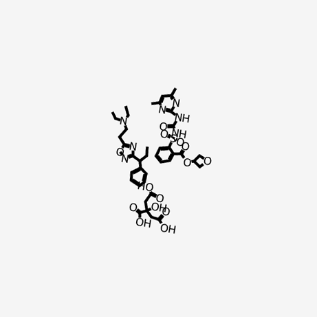 CCC(c1ccccc1)c1noc(CCN(CC)CC)n1.Cc1cc(C)nc(NC(=O)NS(=O)(=O)c2ccccc2C(=O)OC2COC2)n1.O=C(O)CC(O)(CC(=O)O)C(=O)O